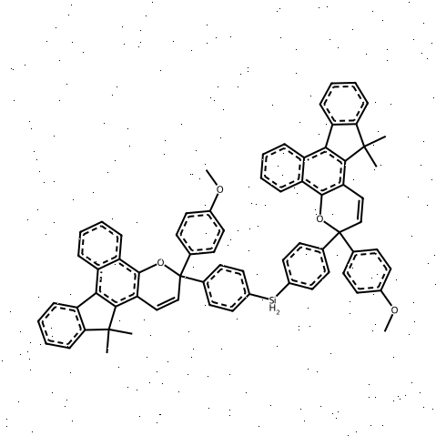 COc1ccc(C2(c3ccc([SiH2]c4ccc(C5(c6ccc(OC)cc6)C=Cc6c7c(c8ccccc8c6O5)-c5ccccc5C7(C)C)cc4)cc3)C=Cc3c4c(c5ccccc5c3O2)-c2ccccc2C4(C)C)cc1